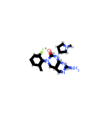 Cc1cccc(F)c1N1Cc2cnc(N)nc2N([C@@H]2CCN(C)C2)C1=O